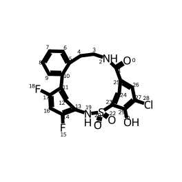 O=C1NCCc2ccccc2-c2cc(c(F)cc2F)NS(=O)(=O)c2cc1cc(Cl)c2O